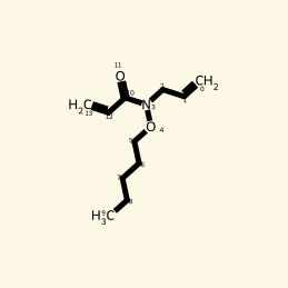 C=CCN(OCCCCC)C(=O)C=C